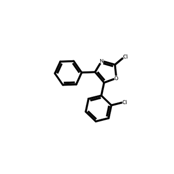 Clc1nc(-c2ccccc2)c(-c2ccccc2Cl)o1